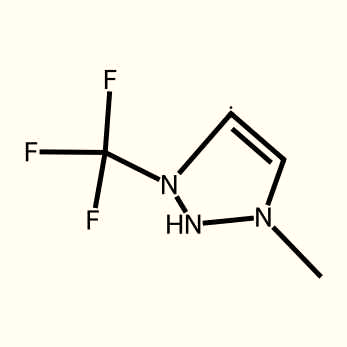 CN1C=[C]N(C(F)(F)F)N1